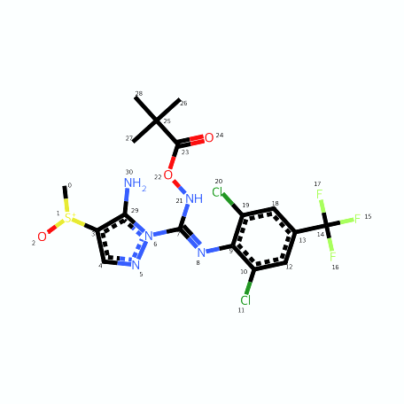 C[S+]([O-])c1cnn(C(=Nc2c(Cl)cc(C(F)(F)F)cc2Cl)NOC(=O)C(C)(C)C)c1N